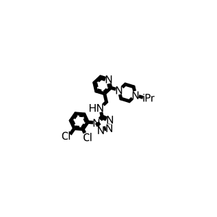 CC(C)N1CCN(c2ncccc2CNc2nnnn2-c2cccc(Cl)c2Cl)CC1